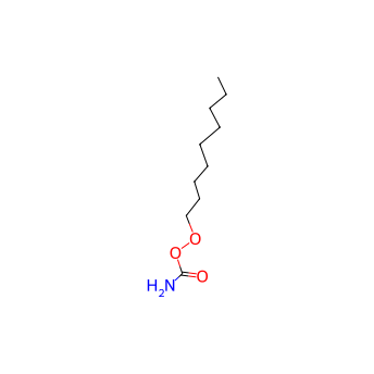 CCCCCCCCCOOC(N)=O